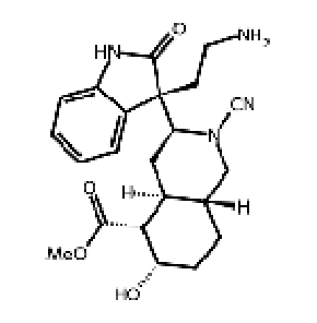 COC(=O)[C@@H]1[C@H]2C[C@@H]([C@@]3(CCN)C(=O)Nc4ccccc43)N(C#N)C[C@@H]2CC[C@@H]1O